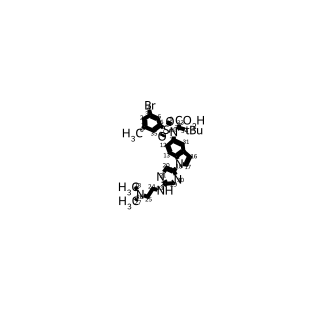 Cc1cc(Br)cc(S(=O)(=O)N(c2ccc3c(ccn3-c3cnc(NCCN(C)C)cn3)c2)C(C(=O)O)C(C)(C)C)c1